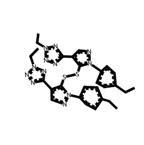 CCc1ccc(-n2ncc(-c3nnn(CC)n3)c2SSc2c(-c3nnn(CC)n3)cnn2-c2ccc(CC)cc2)cc1